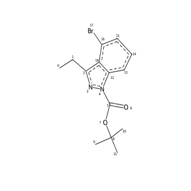 CCc1nn(C(=O)OC(C)(C)C)c2cccc(Br)c12